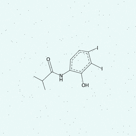 CC(C)C(=O)Nc1ccc(I)c(I)c1O